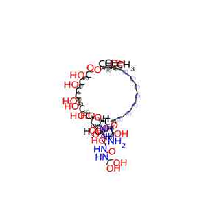 C[C@@H]1[C@H](O)[C@@H](C)/C=C/C=C/C=C/C=C/C=C/C=C/C=C/[C@H](O[C@@H]2O[C@H](C)[C@@H](O)[C@H](N)[C@@H]2O)C[C@@H]2O[C@](O)(C[C@@H](O)C[C@@H](O)[C@H](O)CC[C@@H](O)C[C@@H](O)CC(=O)O[C@H]1C)C[C@H](O)[C@H]2NC(=O)NCCNC(=O)NC(CO)CO